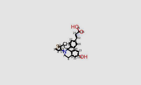 Cc1sccc1N1CCc2cc(O)ccc2[C@]1(C)c1ccc(/C=C/C(=O)O)cc1